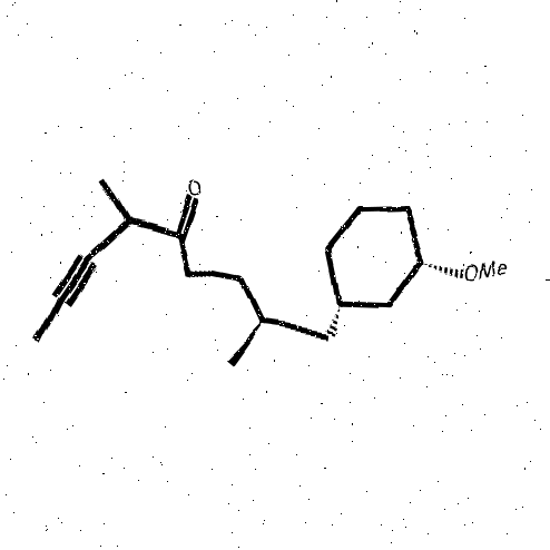 CC#CC(C)C(=O)CC[C@H](C)C[C@@H]1CCC[C@H](OC)C1